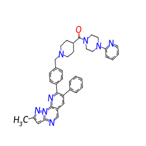 Cc1cc2ncc3cc(-c4ccccc4)c(-c4ccc(CN5CCC(C(=O)N6CCN(c7ccccn7)CC6)CC5)cc4)nc3n2n1